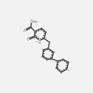 COC(=O)c1ccc(Cc2cccc(-c3ccccc3)c2)[nH]c1=O